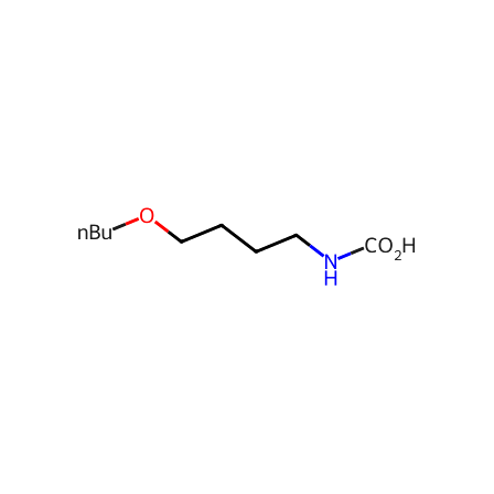 CCCCOCCCCNC(=O)O